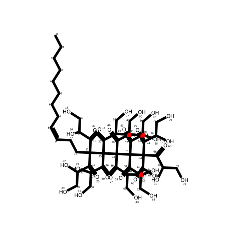 CCCCCCCC/C=C\CCC(C(=O)C(O)CO)(C(=O)C(O)CO)C(C(=O)C(O)CO)(C(=O)C(O)CO)C(C(=O)C(O)CO)(C(=O)C(O)CO)C(C(=O)C(O)CO)(C(=O)C(O)CO)C(C(=O)O)(C(=O)C(O)CO)C(=O)C(O)CO